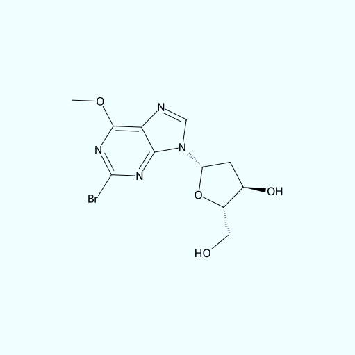 COc1nc(Br)nc2c1ncn2[C@@H]1C[C@@H](O)[C@H](CO)O1